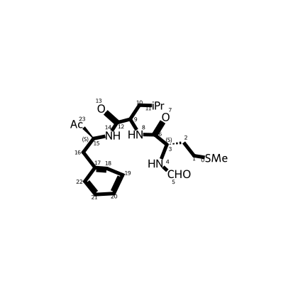 CSCC[C@H](NC=O)C(=O)NC(CC(C)C)C(=O)N[C@@H](Cc1ccccc1)C(C)=O